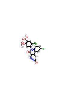 COC(=O)c1cc(Br)c(NC(=O)C2=CNC(=O)CC2c2cccc(F)c2)cc1OC